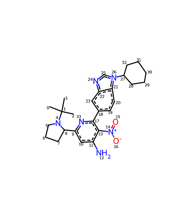 CC(C)(C)N1CCCC1c1cc(N)c([N+](=O)[O-])c(-c2ccc3c(c2)ncn3C2CCCCC2)n1